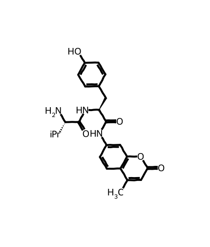 Cc1cc(=O)oc2cc(NC(=O)[C@H](Cc3ccc(O)cc3)NC(=O)[C@@H](N)C(C)C)ccc12